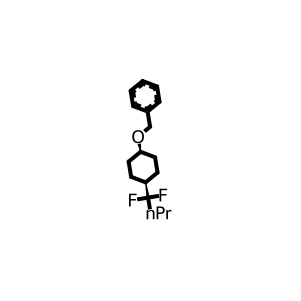 CCCC(F)(F)[C@H]1CC[C@@H](OCc2ccccc2)CC1